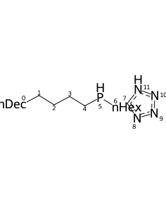 CCCCCCCCCCCCCCPCCCCCC.c1nnn[nH]1